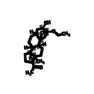 CCO[C@H]1C[C@@]2(C)[C@@H](CC[C@@H]3[C@@H]2CC[C@]2(C)[C@@H](C(C)=O)CC[C@@H]32)C[C@@H]1O